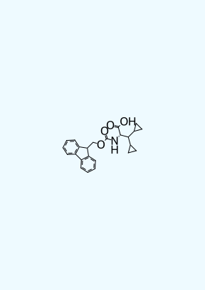 O=C(N[C@H](C(=O)O)C(C1CC1)C1CC1)OCC1c2ccccc2-c2ccccc21